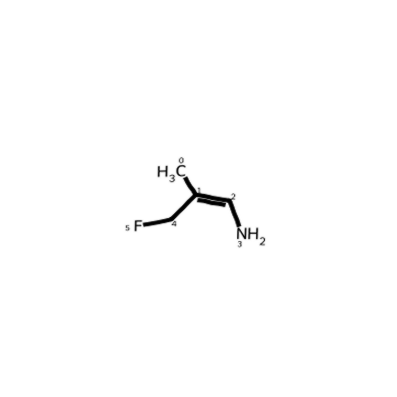 C/C(=C/N)CF